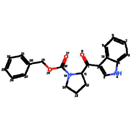 O=C(c1c[nH]c2ccccc12)C1CCCN1C(=O)OCc1ccccc1